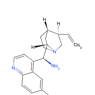 C=C[C@H]1CN2CC[C@H]1C[C@H]2[C@@H](N)c1ccnc2ccc(OC)cc12